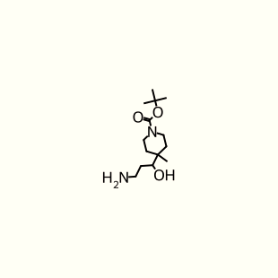 CC(C)(C)OC(=O)N1CCC(C)(C(O)CCN)CC1